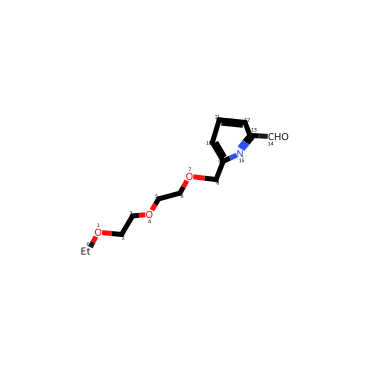 CCOCCOCCOCc1cccc(C=O)n1